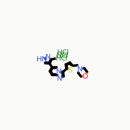 Cc1n[nH]cc1-c1ccc2ncc(-c3ccc(CN4CCOCC4)s3)n2c1.Cl.Cl.Cl